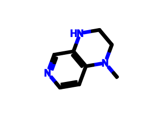 CN1CCNc2cnccc21